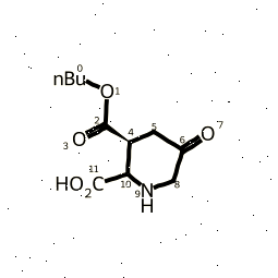 CCCCOC(=O)[C@H]1CC(=O)CNC1C(=O)O